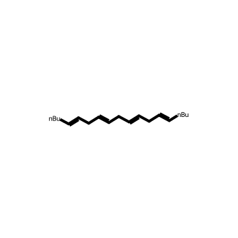 [CH2]CCC/C=C/C/C=C/C/C=C/C/C=C/CCCC